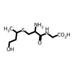 CC(CCO)SCC(N)C(=O)NCC(=O)O